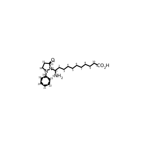 NC(CCCCCCCCCC(=O)O)N1C(=O)CCN1c1ccccc1